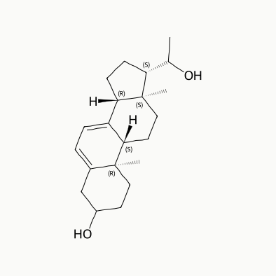 CC(O)[C@H]1CC[C@H]2C3=CC=C4CC(O)CC[C@]4(C)[C@H]3CC[C@]12C